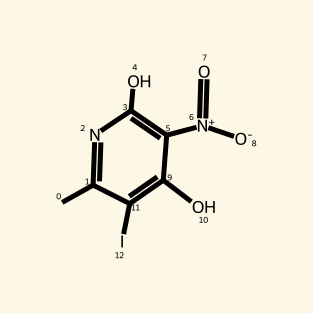 Cc1nc(O)c([N+](=O)[O-])c(O)c1I